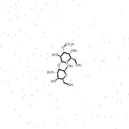 CC(=O)OC[C@H]1O[C@H](O[C@@H]2[C@@H](OC(C)=O)O[C@@H](CO)[C@@H](O)[C@@H]2OC(C)=O)[C@@H](OC(C)=O)[C@H](OC(=O)O)[C@@H]1OC(C)=O